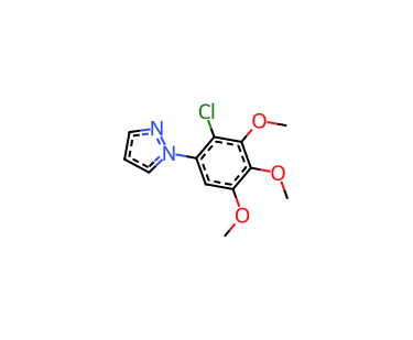 COc1cc(-n2cccn2)c(Cl)c(OC)c1OC